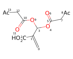 C=C(C(=O)O)C(OC(=O)CC(C)=O)OC(=O)CC(C)=O